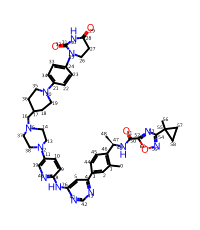 Cc1cc(-c2cc(Nc3ccc(N4CCN(CC5CCN(c6ccc(N7CCC(=O)NC7=O)cc6)CC5)CC4)cn3)ncn2)ccc1[C@@H](C)NC(=O)c1nc(C2(C)CC2)no1